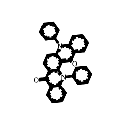 O=c1c2ccccc2n(-c2ccccc2)c2c1ccc1c2c(=O)c2ccccc2n1-c1ccccc1